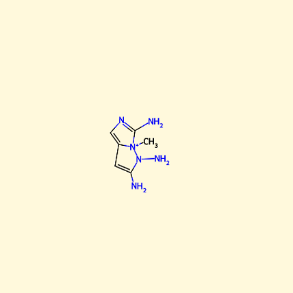 C[N+]12C(=CN=C1N)C=C(N)N2N